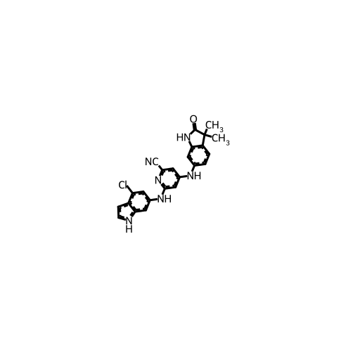 CC1(C)C(=O)Nc2cc(Nc3cc(C#N)nc(Nc4cc(Cl)c5cc[nH]c5c4)c3)ccc21